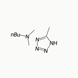 CCCCN(C)C.Cc1nnn[nH]1